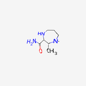 CC1[N]CCCNC1C(N)=O